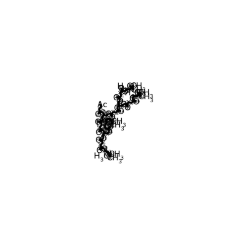 CC(=O)CCC(=O)OC(COC(=O)CCC(=O)OC(COC(=O)CCC(=O)OCC[N+](C)(C)C)COC(=O)CCC(=O)OCC[N+](C)(C)C)COC(=O)CCC(=O)OC(COC(=O)CCC(=O)OCC[N+](C)(C)C)COC(=O)CCC(=O)OCC[N+](C)(C)C